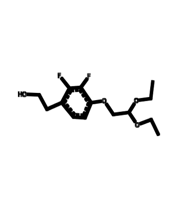 CCOC(COc1ccc(CCO)c(F)c1F)OCC